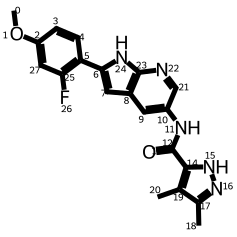 COc1ccc(-c2cc3cc(NC(=O)c4[nH]nc(C)c4C)cnc3[nH]2)c(F)c1